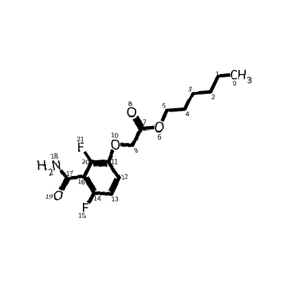 CCCCCCOC(=O)COc1ccc(F)c(C(N)=O)c1F